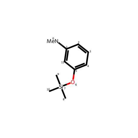 CNc1cccc(O[Si](C)(C)C)c1